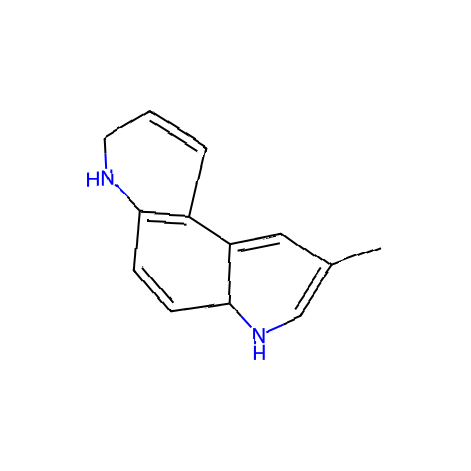 CC1=CNC2C=CC3=C(C=CCN3)C2=C1